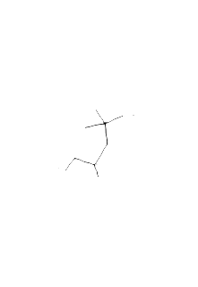 CCCC(C)C(C)(C)CC(C)CS